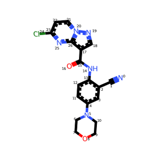 N#Cc1cc(N2CCOCC2)ccc1NC(=O)c1cnn2ccc(Cl)nc12